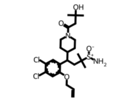 C=CCOc1cc(Cl)c(Cl)cc1C(CC(C)(C)[S+](N)[O-])C1CCN(C(=O)CC(C)(C)O)CC1